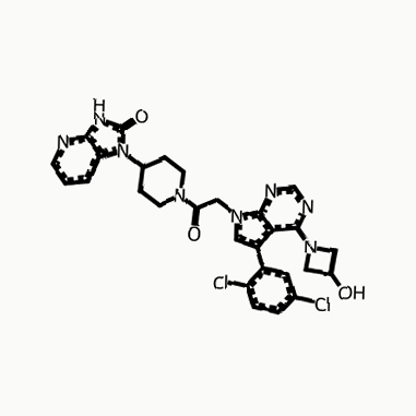 O=C(Cn1cc(-c2cc(Cl)ccc2Cl)c2c(N3CC(O)C3)ncnc21)N1CCC(n2c(=O)[nH]c3ncccc32)CC1